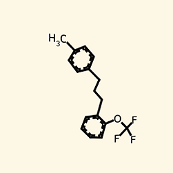 Cc1ccc(CCCc2ccccc2OC(F)(F)F)cc1